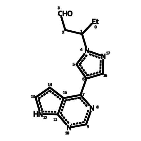 CCC(CC=O)n1cc(-c2ncnc3[nH]ccc23)cn1